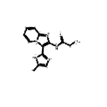 Cc1cnc(-c2c(NC(=O)CC(C)(C)C)nc3ccccn23)[nH]1